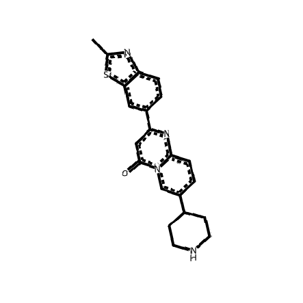 Cc1nc2ccc(-c3cc(=O)n4cc(C5CCNCC5)ccc4n3)cc2s1